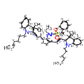 CN(C1=C(/C=C/C2N(CCCCS(=O)(=O)O)c3ccccc3C2(C)C)CC/C1=C\C=C1\N(CCCCS(=O)(=O)O)c2ccccc2C1(C)C)S(=O)(=O)Cc1ccccc1